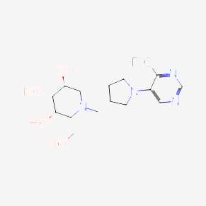 OC[C@@H]1[C@@H](O)[C@H](O)[C@@H](O)CN1C[C@@H]1CCN(c2cncnc2C(F)(F)F)C1